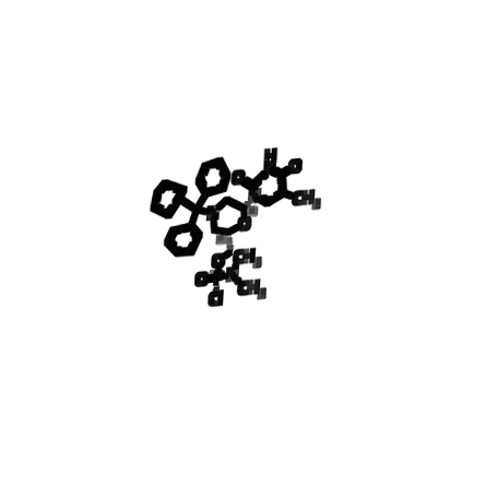 Cc1cn([C@H]2CN(C(c3ccccc3)(c3ccccc3)c3ccccc3)C[C@@H](CO[P@@](=O)(Cl)N(C)C)O2)c(=O)[nH]c1=O